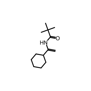 C=C(NC(=O)C(C)(C)C)C1CCCCC1